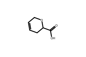 O=C(O)C1CC=CCO1